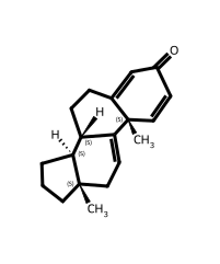 C[C@]12C=CC(=O)C=C1CC[C@@H]1C2=CC[C@]2(C)CCC[C@@H]12